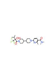 Cc1nc(N2CCC(C3CCN(C(=O)C(O)(C(C)C)C(F)(F)F)CC3)CC2)ccc1C(=O)N(C)C